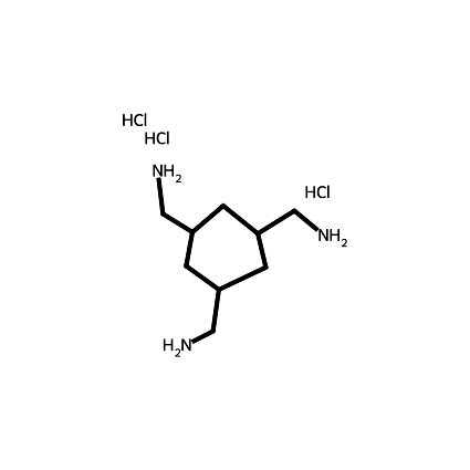 Cl.Cl.Cl.NCC1CC(CN)CC(CN)C1